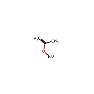 C=C(C)ON=O